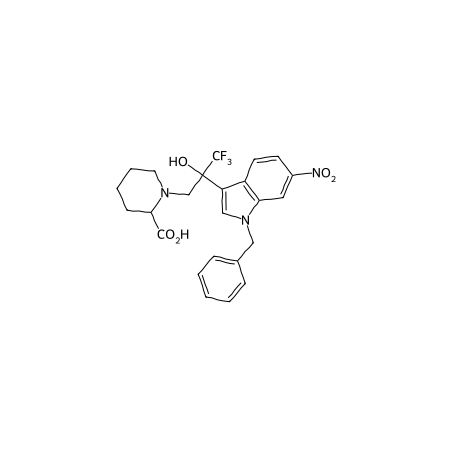 O=C(O)C1CCCCN1CC(O)(c1cn(Cc2ccccc2)c2cc([N+](=O)[O-])ccc12)C(F)(F)F